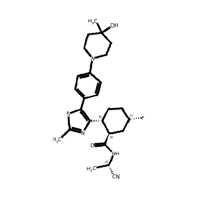 Cc1nc([C@@H]2CC[C@H](F)C[C@H]2C(=O)N[C@@H](C)C#N)c(-c2ccc(N3CCC(C)(O)CC3)cc2)s1